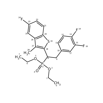 CCOP(=O)(OCC)C(Cc1ccc(F)c(F)c1)c1sc2ccc(F)cc2c1C